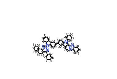 c1ccc(-c2nc(-n3c4ccccc4c4cc(-c5ccc6c(c5)c5ccn7c8ccccc8nc7c5n6-c5ccccc5)ccc43)nc3c2ccc2ccccc23)cc1